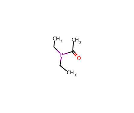 CCP(CC)C(C)=O